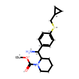 CC(C)(C)OC(=O)N1CCCCC1C(N)c1ccc(SCC2CC2)cc1